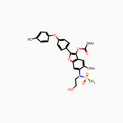 CNC(=O)Oc1c(-c2ccc(Oc3ccc(C#N)cc3)cc2)oc2cc(N(CCO)S(C)(=O)=O)c(OC)cc12